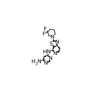 Nc1cc(Nc2nccc3nc(N4CCCC(F)(F)C4)sc23)ncn1